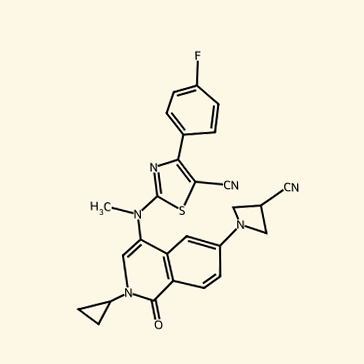 CN(c1nc(-c2ccc(F)cc2)c(C#N)s1)c1cn(C2CC2)c(=O)c2ccc(N3CC(C#N)C3)cc12